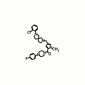 Cn1cc(CN2CCC3(CCN(c4ccccc4Cl)C3)C2)cc1C(=O)N1CCN(c2ccc(F)cc2)CC1